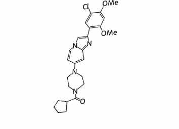 COc1cc(OC)c(-c2cn3ccc(N4CCN(C(=O)C5CCCC5)CC4)cc3n2)cc1Cl